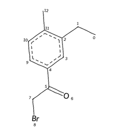 CCc1cc(C(=O)CBr)ccc1C